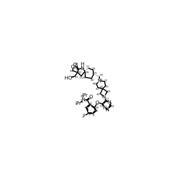 CC(C)N(C(=O)c1cc(F)ccc1Oc1nncnc1N1CC2(CCN(C[C@H]3CC[C@]4(CC3)CC(CO)(CO)C(=O)N4)CC2)C1)C(C)C